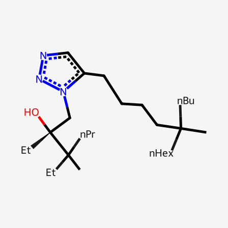 CCCCCCC(C)(CCCC)CCCCc1cnnn1C[C@](O)(CC)C(C)(CC)CCC